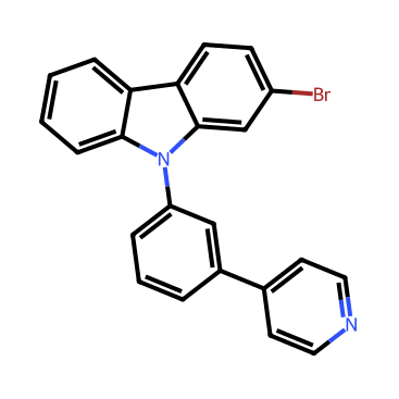 Brc1ccc2c3ccccc3n(-c3cccc(-c4ccncc4)c3)c2c1